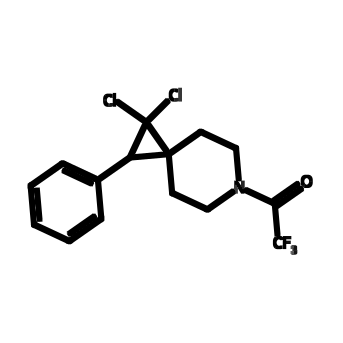 O=C(N1CCC2(CC1)C(c1ccccc1)C2(Cl)Cl)C(F)(F)F